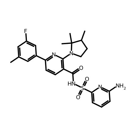 Cc1cc(F)cc(-c2ccc(C(=O)NS(=O)(=O)c3cccc(N)n3)c(N3CCC(C)C3(C)C)n2)c1